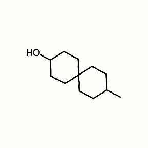 CC1CCC2(CC1)CCC(O)CC2